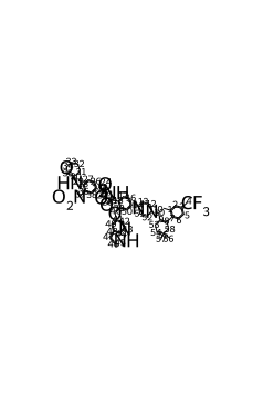 Cc1cc(C(F)(F)F)ccc1C1=C(CN2CCN(c3ccc(C(=O)NS(=O)(=O)c4ccc(N[C@@H]5CCCOC5)c([N+](=O)[O-])c4)c(Oc4cnc5[nH]ccc5c4)c3)CC2)CCC(C)(C)C1